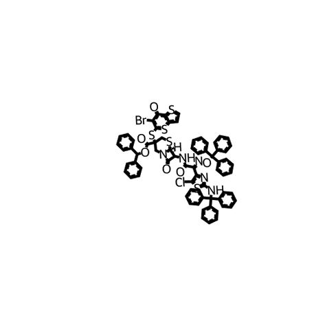 O=C(NC1C(=O)N2CC(Sc3sc4ccsc4c(=O)c3Br)(C(=O)OC(c3ccccc3)c3ccccc3)CS[C@H]12)C(=NOC(c1ccccc1)(c1ccccc1)c1ccccc1)c1nc(NC(c2ccccc2)(c2ccccc2)c2ccccc2)sc1Cl